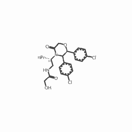 CCC[C@@H](CNC(=O)CO)N1C(=O)COC(c2ccc(Cl)cc2)C1c1ccc(Cl)cc1